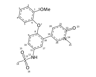 COc1ccccc1Oc1ccc(NS(C)(=O)=O)cc1-c1ccc(=O)n(C)c1